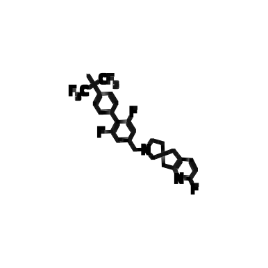 CC(c1ccc(-c2c(F)cc(CN3CCC4(Cc5ccc(F)nc5C4)C3)cc2F)cc1)(C(F)(F)F)C(F)(F)F